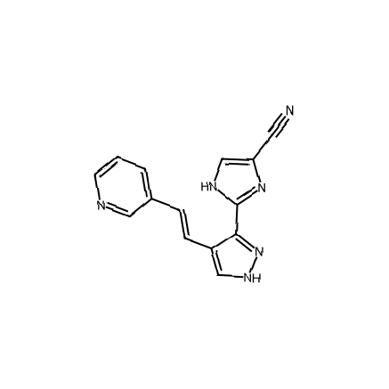 N#Cc1c[nH]c(-c2n[nH]cc2C=Cc2cccnc2)n1